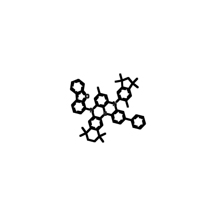 Cc1cc2c3c(c1)N(c1cccc4c1oc1ccccc14)c1cc4c(cc1B3c1ccc(-c3ccccc3)cc1N2c1cc2c(cc1C)C(C)(C)CC2(C)C)C(C)(C)CCC4(C)C